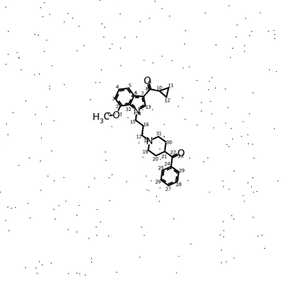 COc1cccc2c(C(=O)C3CC3)cn(CCCN3CCC(C(=O)c4ccccc4)CC3)c12